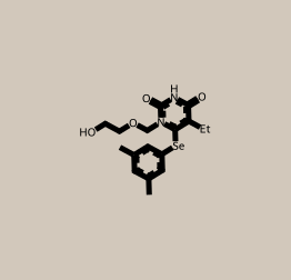 CCc1c([Se]c2cc(C)cc(C)c2)n(COCCO)c(=O)[nH]c1=O